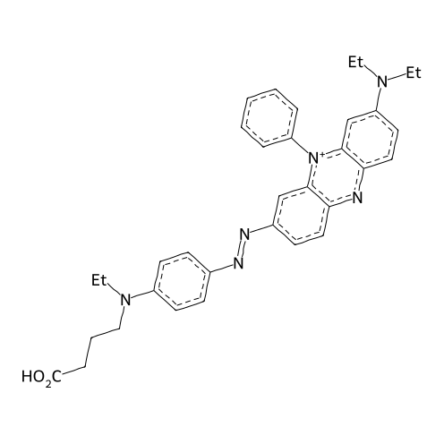 CCN(CC)c1ccc2nc3ccc(/N=N/c4ccc(N(CC)CCCC(=O)O)cc4)cc3[n+](-c3ccccc3)c2c1